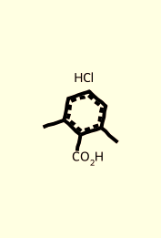 Cc1cccc(C)c1C(=O)O.Cl